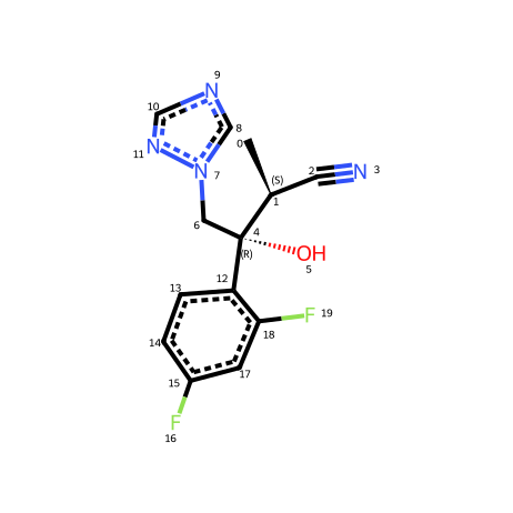 C[C@@H](C#N)[C@](O)(Cn1cncn1)c1ccc(F)cc1F